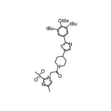 COc1c(C(C)(C)C)cc(-c2ncc(C3CCN(C(=O)Cn4cc(C)nc4S(C)(=O)=O)CC3)s2)cc1C(C)(C)C